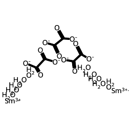 O.O.O.O.O.O.O.O.O.O.O=C([O-])C(=O)[O-].O=C([O-])C(=O)[O-].O=C([O-])C(=O)[O-].[Sm+3].[Sm+3]